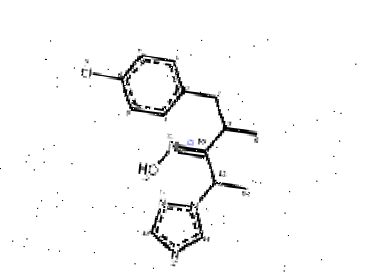 CC(Cc1ccc(Cl)cc1)/C(=N/O)C(C)n1cncn1